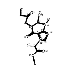 CCC(=O)CN1C(=O)c2c(ncn2[C@@H](C)C(=O)OC)N(C)C1O